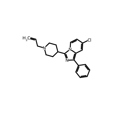 C=CCN1CCC(c2nc(-c3ccccc3)c3cc(Cl)ccn23)CC1